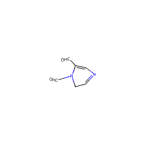 O=CC1=CN=CCN1C=O